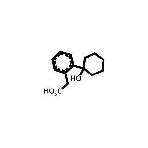 O=C(O)Cc1ccccc1C1(O)CCCCC1